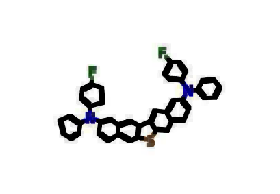 Fc1ccc(N(c2ccccc2)c2ccc3cc4sc5cc6ccc(N(c7ccccc7)c7ccc(F)cc7)cc6cc5c4cc3c2)cc1